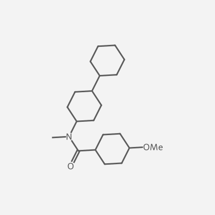 COC1CCC(C(=O)N(C)C2CCC(C3CCCCC3)CC2)CC1